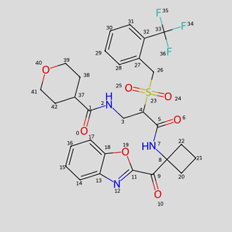 O=C(NCC(C(=O)NC1(C(=O)c2nc3ccccc3o2)CCC1)S(=O)(=O)Cc1ccccc1C(F)(F)F)C1CCOCC1